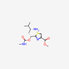 CNC(=O)O[C@H](C[C@@H](N)C(C)C)c1nc(C(=O)OC)cs1